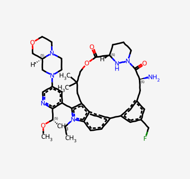 CCn1c(-c2cc(N3CCN4CCOC[C@@H]4C3)cnc2[C@H](C)OC)c2c3cc(ccc31)-c1cc(CF)cc(c1)C[C@H](N)C(=O)N1CCC[C@H](N1)C(=O)OCC(C)(C)C2